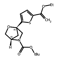 C=C(OCC)c1ccc([C@@]23C[C@@H](CO2)N(C(=O)OC(C)(C)C)C3)s1